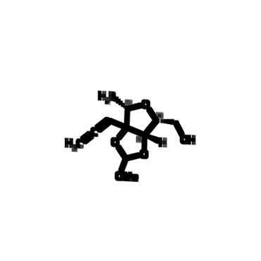 B[C@@H]1O[C@H](CO)[C@@H]2OC(OC)OC12C=C=C